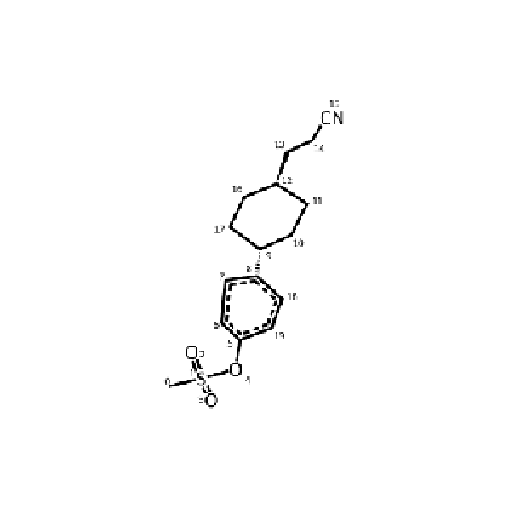 CS(=O)(=O)Oc1ccc([C@H]2CC[C@H](CCC#N)CC2)cc1